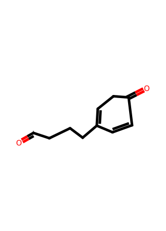 O=[C]CCCC1=CCC(=O)C=C1